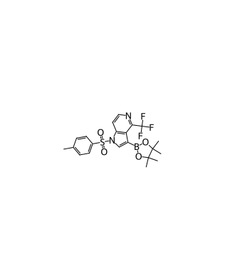 Cc1ccc(S(=O)(=O)n2cc(B3OC(C)(C)C(C)(C)O3)c3c(C(F)(F)F)nccc32)cc1